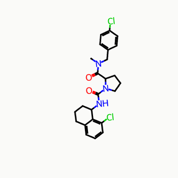 CN(Cc1ccc(Cl)cc1)C(=O)C1CCCN1C(=O)NC1CCCc2cccc(Cl)c21